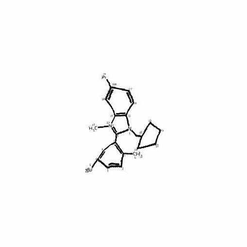 Cc1ccc(C(C)(C)C)cc1-c1n(C2CCCC2)c2ccc(C(C)C)cc2[n+]1C